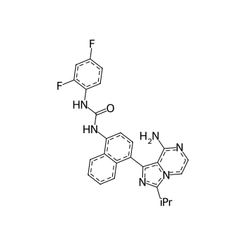 CC(C)c1nc(-c2ccc(NC(=O)Nc3ccc(F)cc3F)c3ccccc23)c2c(N)nccn12